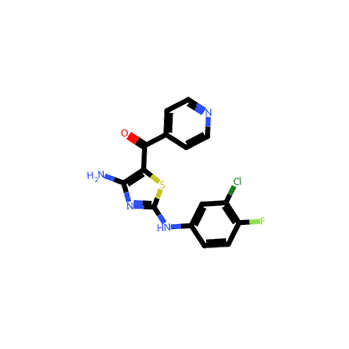 Nc1nc(Nc2ccc(F)c(Cl)c2)sc1C(=O)c1ccncc1